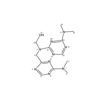 CN(C)c1ncnc(CN(CO)c2ncnc(N(C)C)n2)n1